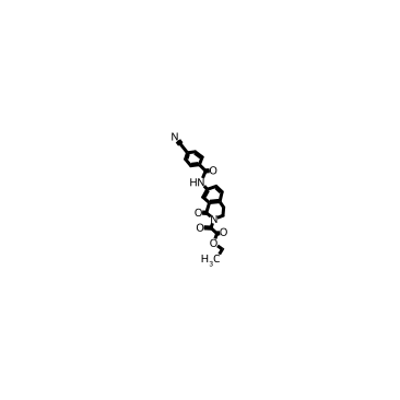 CCOC(=O)C(=O)N1CCc2ccc(NC(=O)c3ccc(C#N)cc3)cc2C1=O